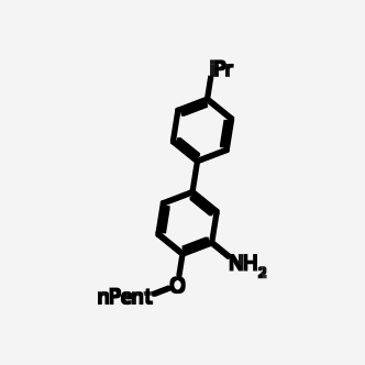 CCCCCOc1ccc(-c2ccc(C(C)C)cc2)cc1N